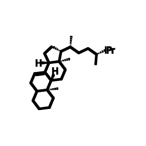 CC(C)[C@H](C)CC[C@@H](C)[C@H]1CC[C@H]2C3=CCC4CCCC[C@]4(C)[C@H]3CC[C@]12C